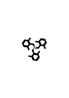 Cc1cccc(C)c1[CH2][Al]([CH2]c1c(C)cccc1C)[CH2]c1c(C)cccc1C